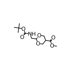 COC(=O)C1COC(CNC(=O)OC(C)(C)C)OC1